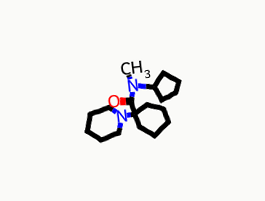 CN(C(=O)C1(N2CCCCC2)CCCCC1)C1CCCC1